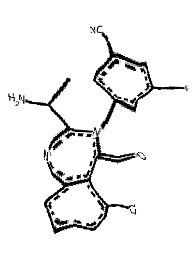 CC(N)c1nc2cccc(Cl)c2c(=O)n1-c1cc(F)cc(C#N)c1